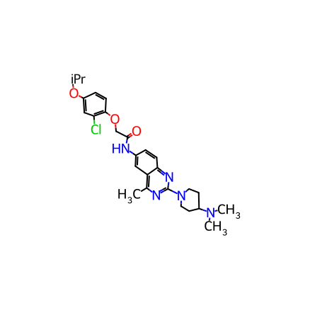 Cc1nc(N2CCC(N(C)C)CC2)nc2ccc(NC(=O)COc3ccc(OC(C)C)cc3Cl)cc12